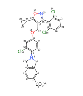 O=C(O)c1ccc2c(c1)CN(c1ccc(OCc3c(-c4c(Cl)cccc4Cl)noc3C3CC3)cc1Cl)C2